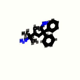 CC(CC(CN)(c1ccccc1)c1ccccc1)C(C)(C)N